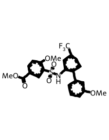 COC(=O)c1ccc(OC)c(S(=O)(=O)Nc2cc(C(F)(F)F)ccc2-c2cccc(OC)c2)c1